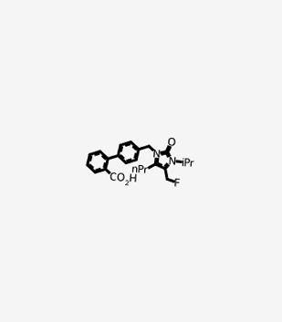 CCCc1c(CF)n(C(C)C)c(=O)n1Cc1ccc(-c2ccccc2C(=O)O)cc1